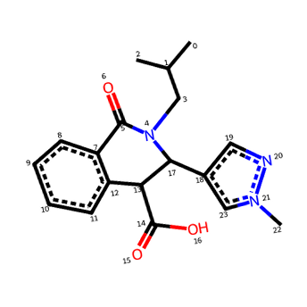 CC(C)CN1C(=O)c2ccccc2C(C(=O)O)C1c1cnn(C)c1